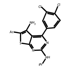 CC(=O)c1sc2nc(NC(C)C)nc(-c3ccc(Cl)c(Cl)c3)c2c1N